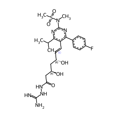 CC(C)c1nc(N(C)S(C)(=O)=O)nc(-c2ccc(F)cc2)c1/C=C/[C@H](O)C[C@@H](O)CC(=O)NNC(=N)N